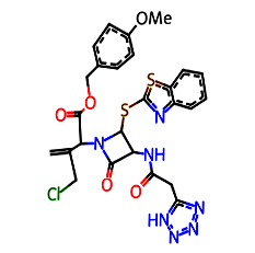 C=C(CCl)C(C(=O)OCc1ccc(OC)cc1)N1C(=O)C(NC(=O)Cc2nnn[nH]2)C1Sc1nc2ccccc2s1